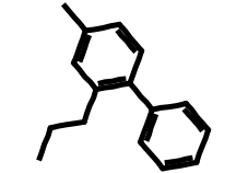 CCCc1cc(C)ccc1-c1ccccc1